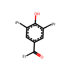 CCC(=O)c1cc(C(C)C)c(O)c(C(C)C)c1